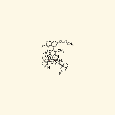 C#Cc1c(F)ccc2cc(OCOC)cc(-c3oc(=O)c4c(N5C[C@H]6CC[C@@H](C5)N6C(=O)OC(C)(C)C)nc(OC[C@@]56CCCN5C[C@H](F)C6)nc4c3C)c12